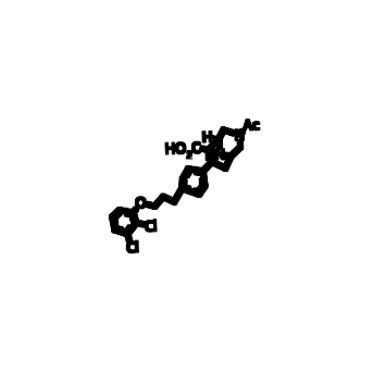 CC(=O)N1CC2CC(c3ccc(CCCOc4cccc(Cl)c4Cl)cc3)=C(C(=O)O)[C@@H](C1)N2